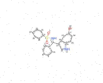 O=S(=O)(NC(c1ccccc1)c1c[nH]c2ccc(Br)cc12)c1ccccc1